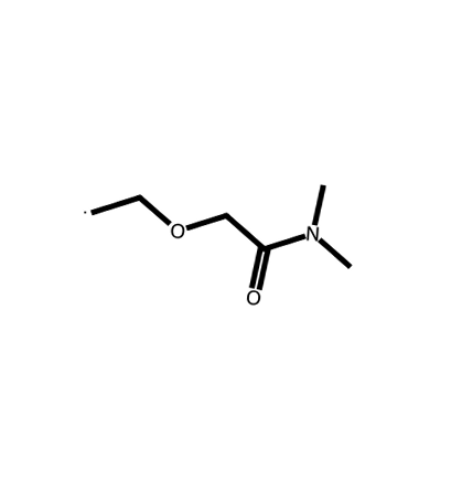 [CH2]COCC(=O)N(C)C